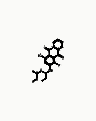 CCC(Nc1cc(O)c2c(c1O)C(=O)c1ccccc1C2=O)OC(C)OC